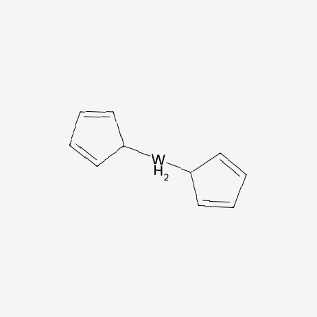 C1=C[CH]([WH2][CH]2C=CC=C2)C=C1